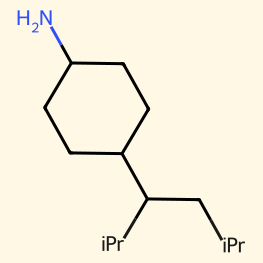 CC(C)CC(C(C)C)C1CCC(N)CC1